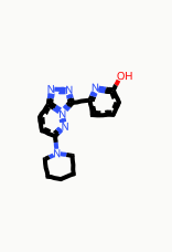 Oc1cccc(-c2nnc3ccc(N4CCCCC4)nn23)n1